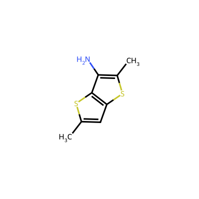 Cc1cc2sc(C)c(N)c2s1